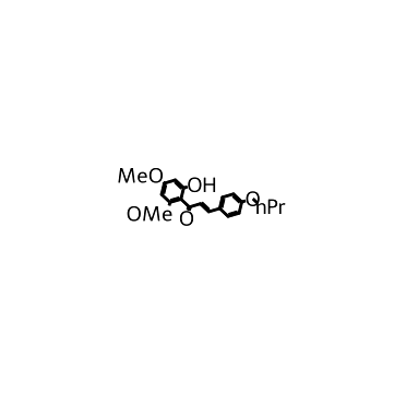 CCCOc1ccc(/C=C/C(=O)c2c(O)cc(OC)cc2OC)cc1